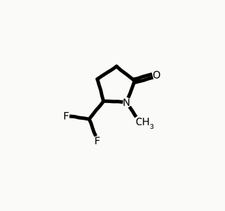 CN1C(=O)CCC1C(F)F